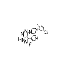 Cc1ccc(Cl)cc1N1CCN(c2ncnc3[nH]nc(-c4ccncc4F)c23)CC1